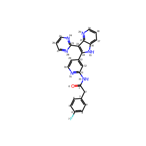 O=C(Cc1ccc(F)cc1)Nc1cc(-c2[nH]c3cccnc3c2-c2ncccn2)ccn1